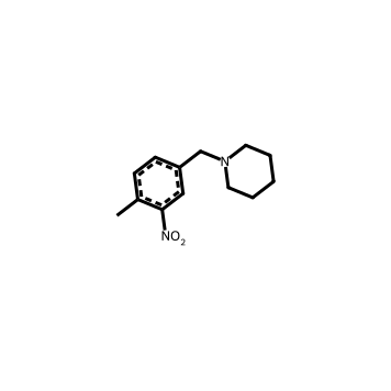 Cc1ccc(CN2CCCCC2)cc1[N+](=O)[O-]